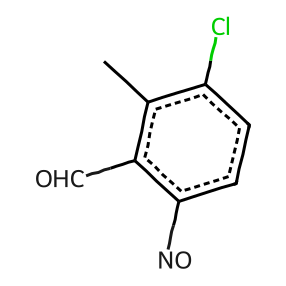 Cc1c(Cl)ccc(N=O)c1C=O